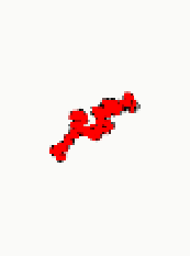 c1cc(-c2cccc3oc4ccccc4c23)cc(N(c2ccc(-c3ccc(-c4ccc(-n5c6ccccc6c6ccccc65)cc4)cc3)cc2)c2ccc(-c3cc4cccc(-c5ccc6c(c5)oc5cccc(-c7cccc(N(c8ccc(-c9ccc(-c%10ccc(-n%11c%12ccccc%12c%12ccccc%12%11)cc%10)cc9)cc8)c8ccccc8-c8ccc9c(ccc%10ccccc%109)c8)c7)c56)c4c4ccccc34)cc2)c1